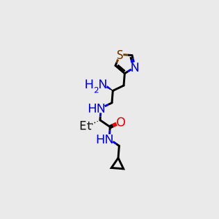 CC[C@H](NC[C@@H](N)Cc1cscn1)C(=O)NCC1CC1